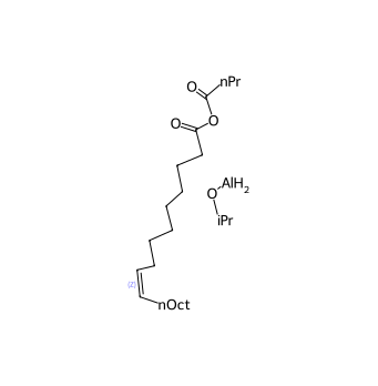 CC(C)[O][AlH2].CCCCCCCC/C=C\CCCCCCCC(=O)OC(=O)CCC